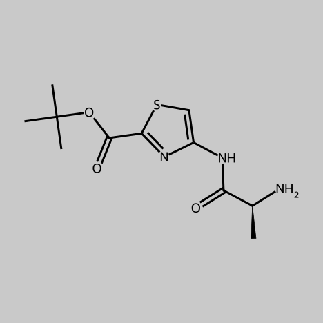 C[C@H](N)C(=O)Nc1csc(C(=O)OC(C)(C)C)n1